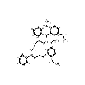 COc1ccc(OC)c(CCCC(COCC(CCCc2cc(OC)ccc2OC)c2ccccc2)c2ccccc2)c1